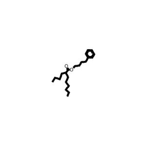 CCCCCCC(CCCC)C(=O)OCCCCc1ccccc1